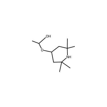 CC(O)OC1CC(C)(C)NC(C)(C)C1